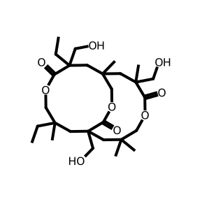 CCC1(C)COC(=O)C(CC)(CO)CC2(C)COC(=O)C(CO)(CC(C)(C)COC(=O)C(C)(CO)C2)C1